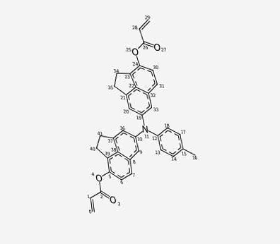 C=CC(=O)Oc1ccc2cc(N(c3ccc(C)cc3)c3cc4c5c(c(OC(=O)C=C)ccc5c3)CC4)cc3c2c1CC3